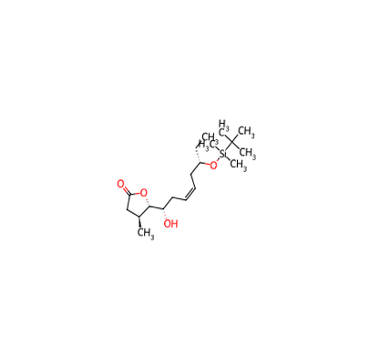 CC[C@@H](C/C=C\C[C@H](O)[C@H]1OC(=O)C[C@@H]1C)O[Si](C)(C)C(C)(C)C